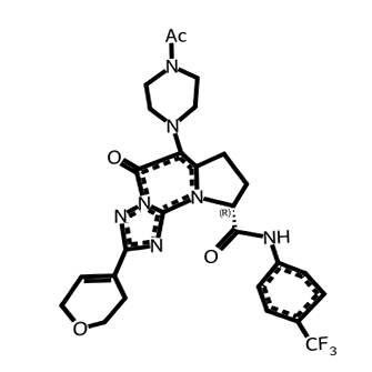 CC(=O)N1CCN(c2c3n(c4nc(C5=CCOCC5)nn4c2=O)[C@@H](C(=O)Nc2ccc(C(F)(F)F)cc2)CC3)CC1